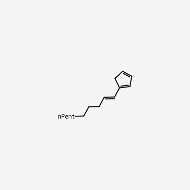 CCCCCCCCC=CC1=CC=CC1